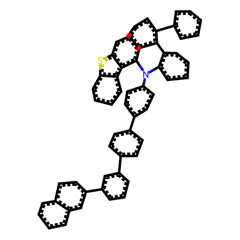 c1ccc(-c2ccccc2-c2ccccc2N(c2ccc(-c3ccc(-c4cccc(-c5ccc6ccccc6c5)c4)cc3)cc2)c2cccc3sc4ccccc4c23)cc1